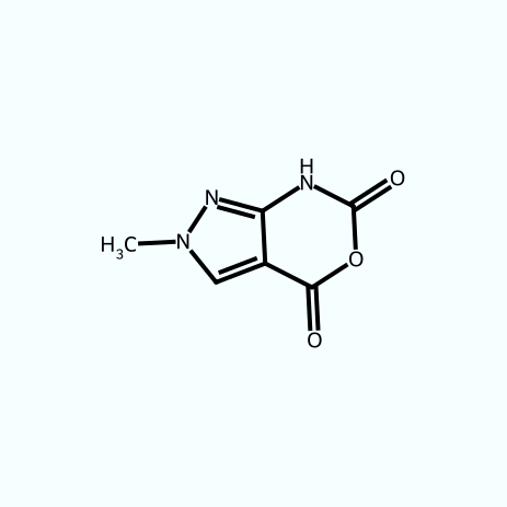 Cn1cc2c(=O)oc(=O)[nH]c2n1